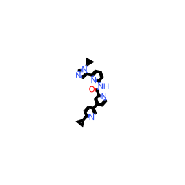 O=C(Nc1cccc(-c2cncn2C2CC2)n1)c1cc(-c2ccc(C3CC3)nc2)ccn1